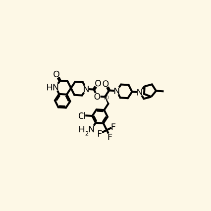 CC1CC2CC1CN2C1CCN(C(=O)[C@@H](Cc2cc(Cl)c(N)c(C(F)(F)F)c2)OC(=O)N2CCC3(CC2)CC(=O)Nc2ccccc23)CC1